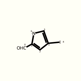 O=CC1=CC(I)=C[N]1